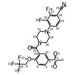 CS(=O)(=O)c1ccc(OCC(F)(F)F)c(C(=O)N2CCN(c3ccc(C#N)c(F)c3F)CC2)c1